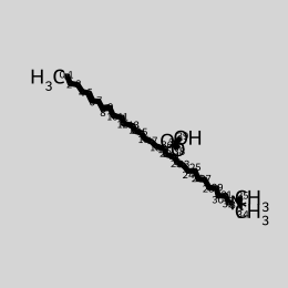 CCCCCC=CCC=CCCCCCCCCCC(CCCCCCCCCCCCCN(C)C)OC(=O)O